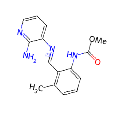 COC(=O)Nc1cccc(C)c1/C=N/c1cccnc1N